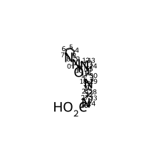 CN(Cc1ccccn1)C(=O)N1CCC[C@H]1C1CCN(C2CC3(CCN(C(=O)O)C3)C2)CC1